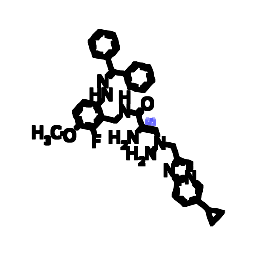 COc1ccc(NN=C(c2ccccc2)c2ccccc2)c(CNC(=O)/C(N)=C/N(N)Cc2cn3cc(C4CC4)ccc3n2)c1F